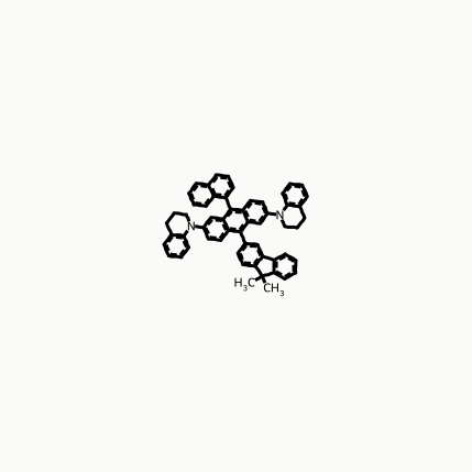 CC1(C)c2ccccc2-c2cc(-c3c4cc(N5CCCc6ccccc65)ccc4c(-c4cccc5ccccc45)c4cc(N5CCCc6ccccc65)ccc34)ccc21